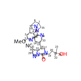 COc1ccc(CN2C3CC2CN(c2ccc(-c4cn(CCC(C)(C)O)c(=O)n5ncc(C#N)c45)cn2)C3)cn1